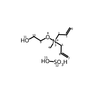 C=CC[N+](C)(CC=C)OCCO.O=S(=O)(O)O